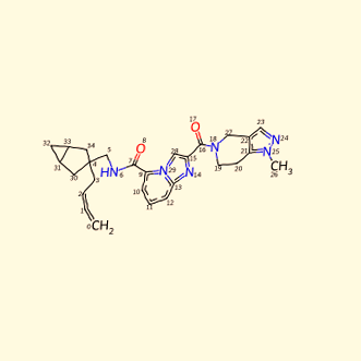 C=C=CCC1(CNC(=O)c2cccc3nc(C(=O)N4CCc5c(cnn5C)C4)cn23)CC2CC2C1